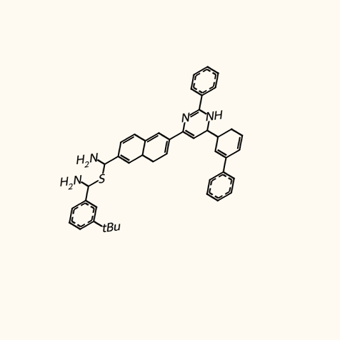 CC(C)(C)c1cccc(C(N)SC(N)C2=CC3CC=C(C4=CC(C5C=C(c6ccccc6)C=CC5)NC(c5ccccc5)=N4)C=C3C=C2)c1